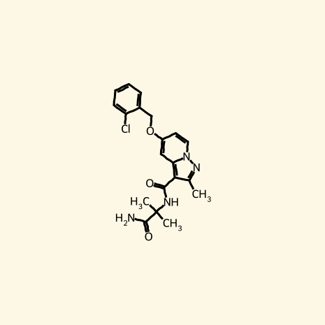 Cc1nn2ccc(OCc3ccccc3Cl)cc2c1C(=O)NC(C)(C)C(N)=O